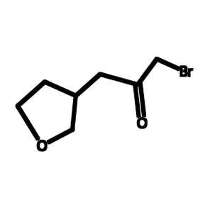 O=C(CBr)CC1CCOC1